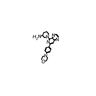 NC1CCCN(c2nc(-c3ccc(N4CCOCC4)cc3)cc3nccnc23)C1